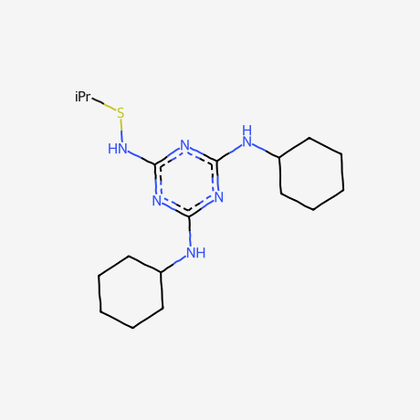 CC(C)SNc1nc(NC2CCCCC2)nc(NC2CCCCC2)n1